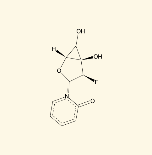 O=c1ccccn1[C@@H]1O[C@@H]2C(O)[C@]2(O)[C@H]1F